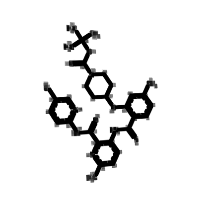 Cc1ccc(C(=S)Nc2ccc(C)nc2C(=O)Nc2ccc(Cl)cn2)c(OC2CCN(C(=O)OC(C)(C)C)CC2)c1